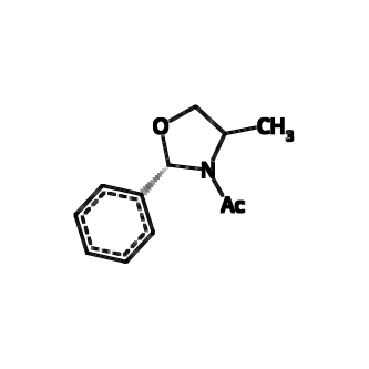 CC(=O)N1C(C)CO[C@H]1c1ccccc1